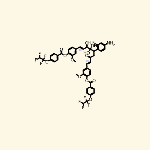 COc1cc(/C=C/C(=O)CC(c2ccc(N)cc2N)C(O)(O)C(=O)/C=C/c2ccc(OC(=O)c3ccc(OC(F)(F)C(F)F)cc3)c(OC)c2)ccc1OC(=O)c1ccc(OC(F)(F)C(F)F)cc1